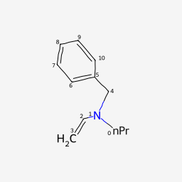 [CH2]CCN(C=C)Cc1ccccc1